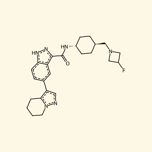 O=C(N[C@H]1CC[C@H](CN2CC(F)C2)CC1)c1n[nH]c2ccc(-c3cnn4c3CCCC4)cc12